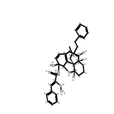 C[N+]1(CCc2ccccc2)CC[C@]23C4=C5C=CC(O)(NC(=O)C(=Cc6ccccc6)OC(F)(F)F)C4O[C@H]2CCC[C@H]3[C@H]1C5